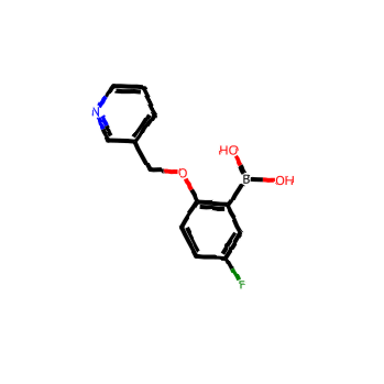 OB(O)c1cc(F)ccc1OCc1cccnc1